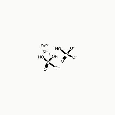 O=P(O)(O)O.O=P([O-])([O-])O.[SiH4].[Zn+2]